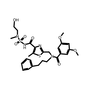 COc1cc(OC)cc(C(=O)N(CCCc2ccccc2)Cc2nc(C(=O)NS(=O)(=O)N(C)CCO)c(C)s2)c1